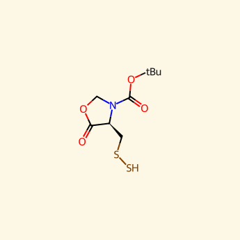 CC(C)(C)OC(=O)N1COC(=O)[C@@H]1CSS